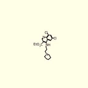 CCOC(=O)c1cnc2c(Cl)cc(Cl)cc2c1NCCCN1CCCCC1